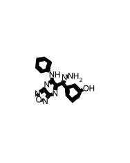 N/N=C(\c1cccc(O)c1)c1nc2nonc2nc1Nc1ccccc1